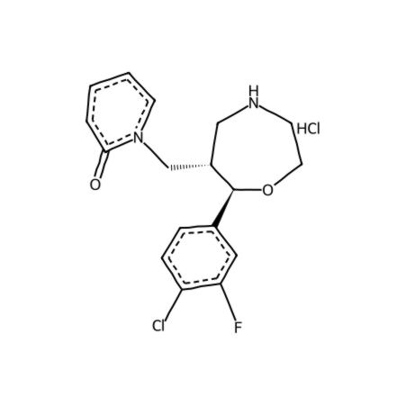 Cl.O=c1ccccn1C[C@@H]1CNCCO[C@H]1c1ccc(Cl)c(F)c1